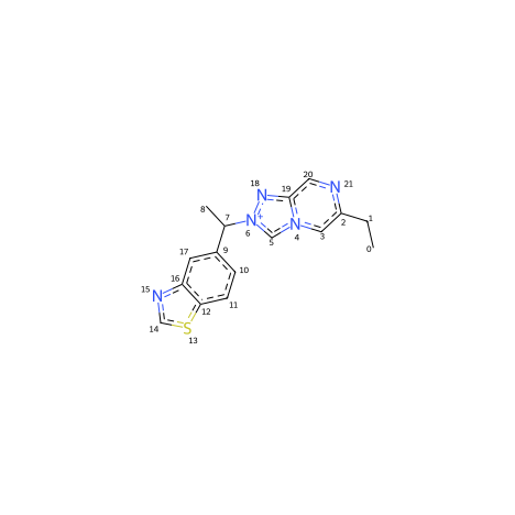 CCc1cn2c[n+](C(C)c3ccc4scnc4c3)nc2cn1